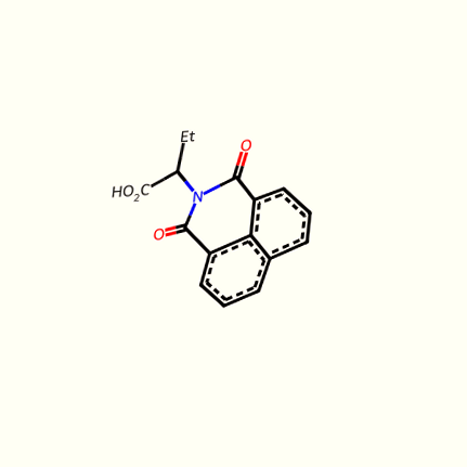 CCC(C(=O)O)N1C(=O)c2cccc3cccc(c23)C1=O